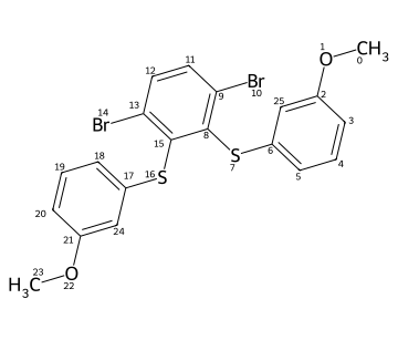 COc1cccc(Sc2c(Br)ccc(Br)c2Sc2cccc(OC)c2)c1